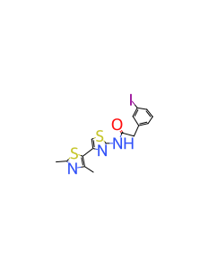 Cc1nc(C)c(-c2csc(NC(=O)Cc3cccc(I)c3)n2)s1